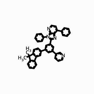 CC1(C)c2ccccc2-c2cc(-c3cc(-c4cccnc4)cc(-c4nc5c(-c6ccccc6)ccnc5n4-c4ccccc4)c3)ccc21